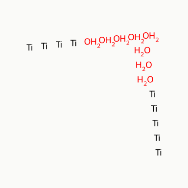 O.O.O.O.O.O.O.O.[Ti].[Ti].[Ti].[Ti].[Ti].[Ti].[Ti].[Ti].[Ti]